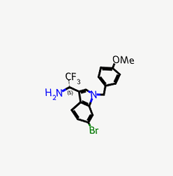 COc1ccc(Cn2cc([C@H](N)C(F)(F)F)c3ccc(Br)cc32)cc1